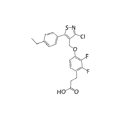 CCc1ccc(-c2snc(Cl)c2COc2ccc(CCC(=O)O)c(F)c2F)cc1